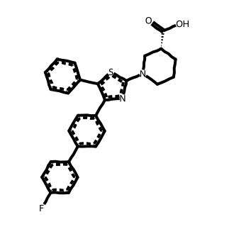 O=C(O)[C@@H]1CCCN(c2nc(-c3ccc(-c4ccc(F)cc4)cc3)c(-c3ccccc3)s2)C1